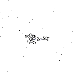 Cc1cc2sc(/C=C/c3ccc(/C=C/C4=C(C#N)C(=C(C#N)C#N)OC4(c4ccccc4)C(F)(F)F)s3)cc2s1